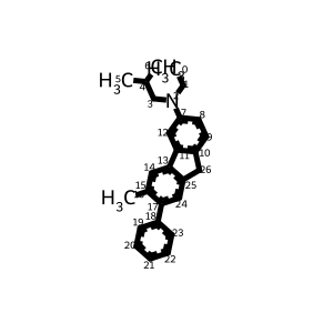 CCN(CC(C)C)c1ccc2c(c1)-c1cc(C)c(-c3ccccc3)cc1C2